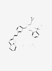 CC(=O)O.CC(C)(O)c1ccccc1CC[C@@H](SCC1CC1)c1cccc(C=Cc2ccc3ccc(Cl)cc3n2)c1.[Na]